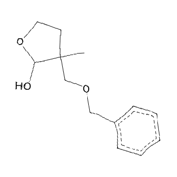 CC1(COCc2ccccc2)CCOC1O